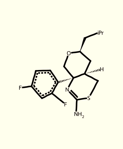 CC(C)C[C@H]1C[C@H]2CSC(N)=N[C@@]2(c2ccc(F)cc2F)CO1